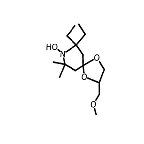 CCC1(CC)CC2(CC(C)(C)N1O)OCC(COC)O2